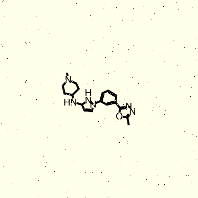 Cc1nnc(-c2cccc(N3C=CC(NC4CCN(C)CC4)N3)c2)o1